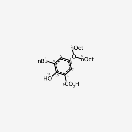 CCCCCCCCOCCCCCCCC.CCCCc1cccc(C(=O)O)c1O